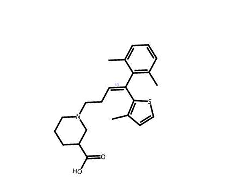 Cc1ccsc1/C(=C\CCN1CCCC(C(=O)O)C1)c1c(C)cccc1C